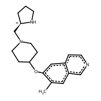 Cc1cc2cnccc2cc1OC1CCN(C[C@H]2CCCN2)CC1